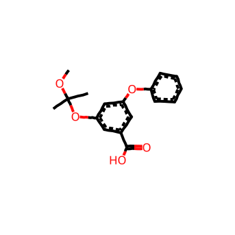 COC(C)(C)Oc1cc(Oc2ccccc2)cc(C(=O)O)c1